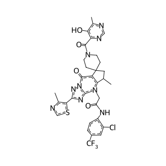 Cc1ncsc1-c1nc2n(CC(=O)Nc3ccc(C(F)(F)F)cc3Cl)c3c(c(=O)n2n1)C1(CCN(C(=O)c2ncnc(C)c2O)CC1)CC3C